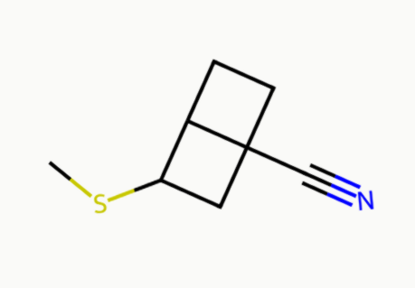 CSC1CC2(C#N)CCC12